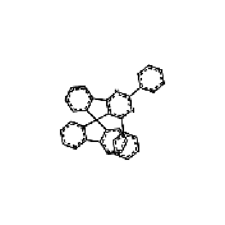 c1ccc(-c2nc(-c3ccccc3)c3c(n2)-c2ccccc2C32c3ccccc3-c3ccccc32)cc1